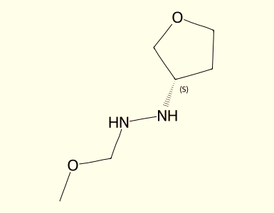 COCNN[C@H]1CCOC1